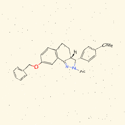 COc1ccc([C@H]2[C@H]3CCc4ccc(OCc5ccccc5)cc4C3=NN2C(C)=O)cc1